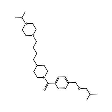 CC(C)COCc1ccc(C(=O)N2CCC(CCCCN3CCN(C(C)C)CC3)CC2)cc1